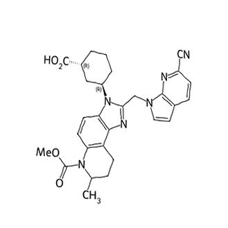 COC(=O)N1c2ccc3c(nc(Cn4ccc5ccc(C#N)nc54)n3[C@@H]3CCC[C@@H](C(=O)O)C3)c2CCC1C